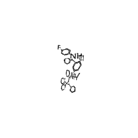 O=C(Nc1ccc(F)cc1)c1cc(NC(=O)C2C(c3ccccc3)C2(Cl)Cl)ccc1Cl